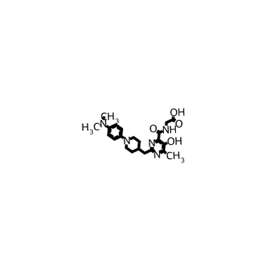 Cc1nc(CC2CCN(c3ccc(N(C)C)cc3)CC2)nc(C(=O)NCC(=O)O)c1O